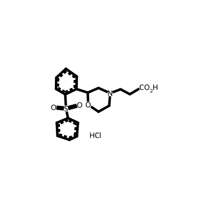 Cl.O=C(O)CCN1CCOC(c2ccccc2S(=O)(=O)c2ccccc2)C1